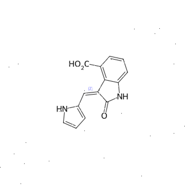 O=C1Nc2cccc(C(=O)O)c2/C1=C/c1ccc[nH]1